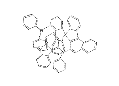 c1ccc(N(c2ccccc2)c2cccc3c2-c2ccccc2C32c3ccccc3-c3c2c(N(c2ccccc2)c2cccc4oc5ccccc5c24)cc2ccccc32)cc1